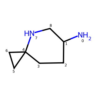 NC1CCC2(CC2)NC1